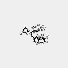 Fc1cccc(C(Cc2ccc3cccnc3c2)C2CNCC[N]2)c1